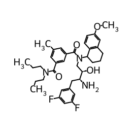 CCCN(CCC)C(=O)c1cc(C)cc(C(=O)N(C[C@@H](O)[C@@H](N)Cc2cc(F)cc(F)c2)C2CCCc3cc(OC)ccc32)c1